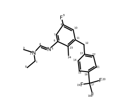 CCN(C)C=Nc1cc(F)cc(Cc2ccc(C(F)(F)F)cc2)c1C